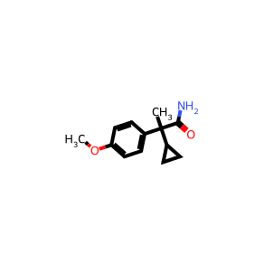 COc1ccc(C(C)(C(N)=O)C2CC2)cc1